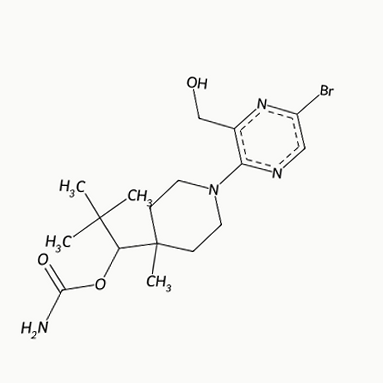 CC(C)(C)C(OC(N)=O)C1(C)CCN(c2ncc(Br)nc2CO)CC1